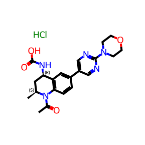 CC(=O)N1c2ccc(-c3cnc(N4CCOCC4)nc3)cc2[C@H](NC(=O)O)C[C@@H]1C.Cl